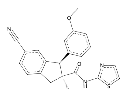 COc1cccc([C@@H]2c3cc(C#N)ccc3C[C@]2(C)C(=O)Nc2nccs2)c1